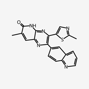 Cc1ncc(-c2nc3[nH]c(=O)c(C)cc3nc2-c2ccc3ncccc3c2)s1